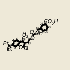 CCN(CC)c1ccc2c(c1)OC(=O)C(CCOC(=O)NCc1cccc(C(=O)O)c1)C2C